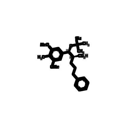 COc1cc([C@@H](O[Si](C)(C)C(C)(C)C)[C@@H](CCCc2ccccc2)C(=O)O)cc(OC)c1C